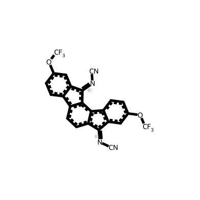 N#C/N=c1\c2cc(OC(F)(F)F)ccc2c2c1ccc1c3ccc(OC(F)(F)F)cc3/c(=N\C#N)c12